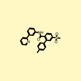 Cc1ccc(-c2cc(S(C)(=O)=O)ccc2C(=O)Nc2cccc(-c3ccccn3)c2)cc1